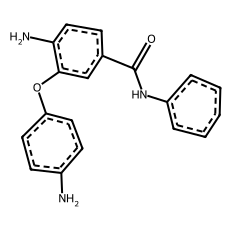 Nc1ccc(Oc2cc(C(=O)Nc3ccccc3)ccc2N)cc1